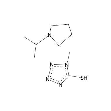 CC(C)N1CCCC1.Cn1nnnc1S